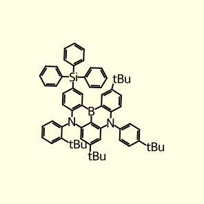 CC(C)(C)c1ccc(N2c3ccc(C(C)(C)C)cc3B3c4cc([Si](c5ccccc5)(c5ccccc5)c5ccccc5)ccc4N(c4ccccc4C(C)(C)C)c4cc(C(C)(C)C)cc2c43)cc1